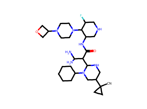 N#CC1(C2CNC(C(C(=O)NC3CNCC(F)C3N3CCN(C4COC4)CC3)C(N)N)N(C3CCCCC3)C2)CC1